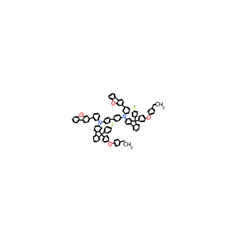 C=Cc1ccc(Oc2ccc(C3(c4ccc(F)cc4)c4ccccc4-c4ccc(N(c5ccc(-c6ccc(N(c7cccc(-c8ccc9c(c8)oc8ccccc89)c7)c7ccc8c(c7)C(c7ccc(F)cc7)(c7ccc(Oc9ccc(C=C)cc9)cc7)c7ccccc7-8)cc6)cc5)c5cccc(-c6ccc7c(c6)oc6ccccc67)c5)cc43)cc2)cc1